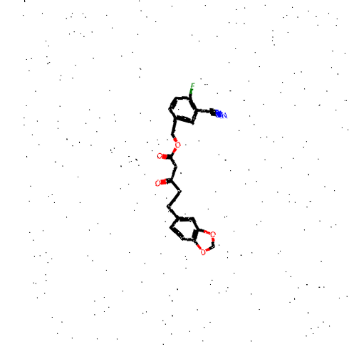 N#Cc1cc(COC(=O)CC(=O)CCc2ccc3c(c2)OCO3)ccc1F